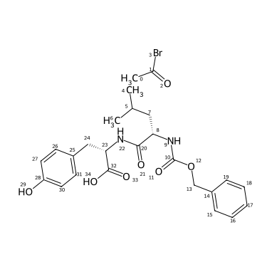 CC(=O)Br.CC(C)C[C@H](NC(=O)OCc1ccccc1)C(=O)N[C@@H](Cc1ccc(O)cc1)C(=O)O